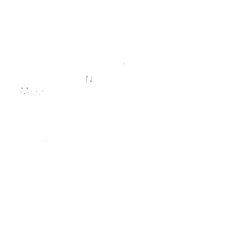 COC1=NC(Cc2ccccc2)CC2=C1CCCC2